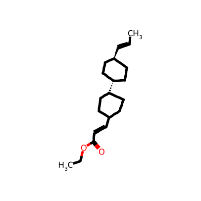 C/C=C/[C@H]1CC[C@H](C2CCC(/C=C/C(=O)OCC)CC2)CC1